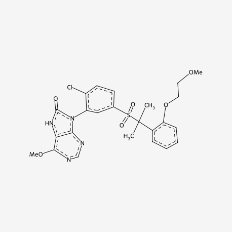 COCCOc1ccccc1C(C)(C)S(=O)(=O)c1ccc(Cl)c(-n2c(=O)[nH]c3c(OC)ncnc32)c1